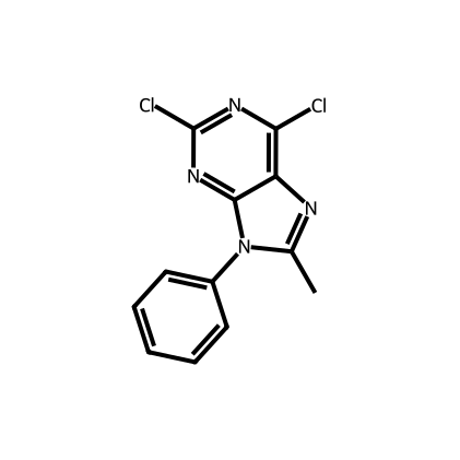 Cc1nc2c(Cl)nc(Cl)nc2n1-c1ccccc1